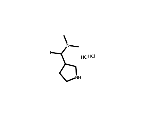 CN(C)C(I)C1CCNC1.Cl.Cl